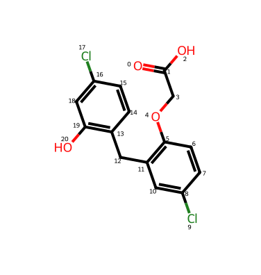 O=C(O)COc1ccc(Cl)cc1Cc1ccc(Cl)cc1O